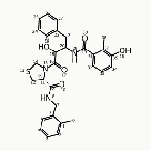 Cc1ccccc1CNC(=O)[C@@H]1CSCN1C(=O)C(O)C(Cc1ccccc1)NC(=O)c1cccc(O)c1C